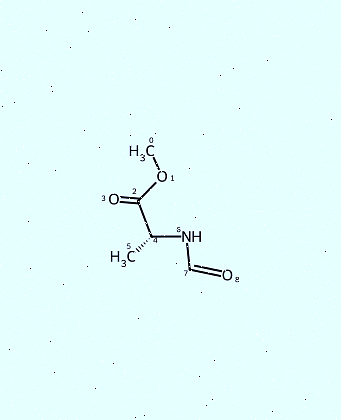 COC(=O)[C@@H](C)NC=O